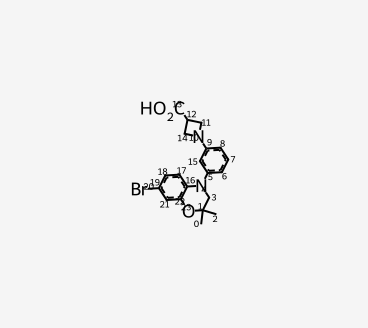 CC1(C)CN(c2cccc(N3CC(C(=O)O)C3)c2)c2ccc(Br)cc2O1